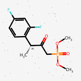 COP(=O)(CC(=O)[C@H](C)c1ccc(F)cc1F)OC